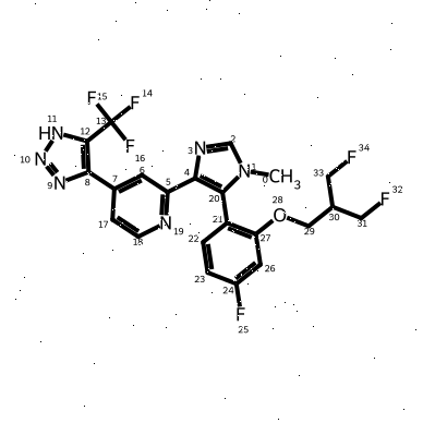 Cn1cnc(-c2cc(-c3nn[nH]c3C(F)(F)F)ccn2)c1-c1ccc(F)cc1OCC(CF)CF